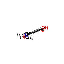 CCN(C)C(=O)N(C)CCCCCCCCCCCCCCCC(=O)O